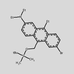 CCc1c2cc(N(CC)CC)ccc2c(CO[Si](C)(C)C(C)(C)C)c2cc(Br)ccc12